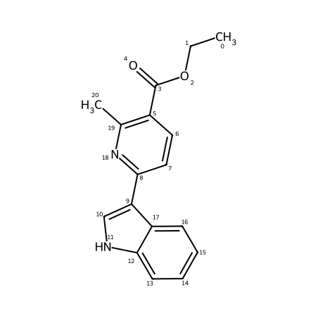 CCOC(=O)c1ccc(-c2c[nH]c3ccccc23)nc1C